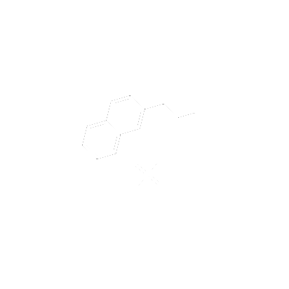 CS(=O)(=O)O.OCCc1ccc2ccccc2c1